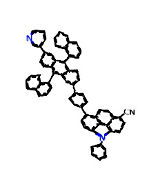 N#Cc1ccc2c3c1ccc1c(-c4ccc(-c5ccc6c(-c7cccc8ccccc78)c7cc(-c8cccnc8)ccc7c(-c7cccc8ccccc78)c6c5)cc4)ccc(c13)n2-c1ccccc1